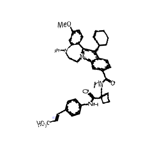 COc1ccc2c(c1)N(C(C)C)CCn1c-2c(C2CCCCC2)c2ccc(C(=O)NC3(C(=O)Nc4ccc(/C=C/C(=O)O)cc4)CCC3)cc21